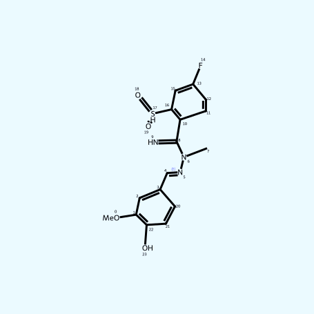 COc1cc(/C=N/N(C)C(=N)c2ccc(F)cc2[SH](=O)=O)ccc1O